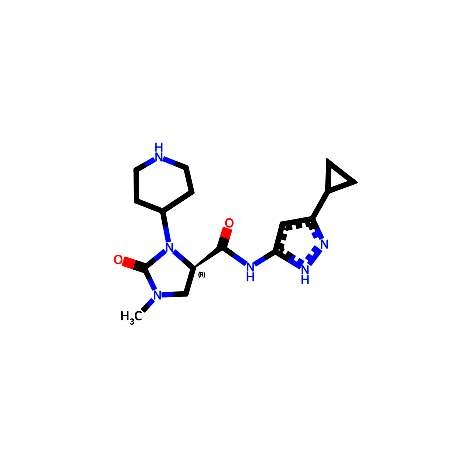 CN1C[C@H](C(=O)Nc2cc(C3CC3)n[nH]2)N(C2CCNCC2)C1=O